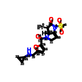 CC(C)[C@H]1C(=O)N(S(C)(=O)=O)C2=CCN(C(=O)c3ccc(CNC4CC4)o3)[C@@H]21